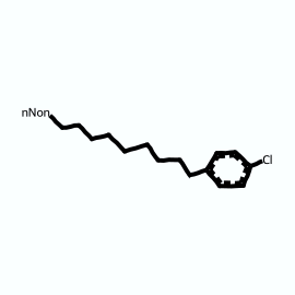 CCCCCCCCCCCCCCCCC[CH]c1ccc(Cl)cc1